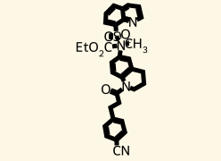 CCOC(=O)[N+](C)(c1ccc2c(c1)CCCN2C(=O)CCc1ccc(C#N)cc1)S(=O)(=O)c1cccc2cccnc12